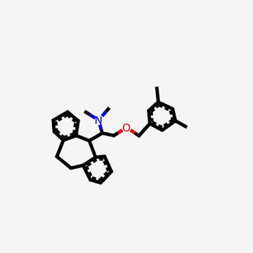 Cc1cc(C)cc(COCC(C2c3ccccc3CCc3ccccc32)N(C)C)c1